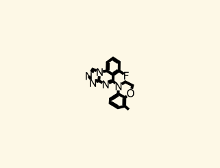 Cc1cccc2c1OCCN2c1nc2nncn2c2cccc(F)c12